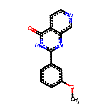 COc1cccc(-c2nc3cnccc3c(=O)[nH]2)c1